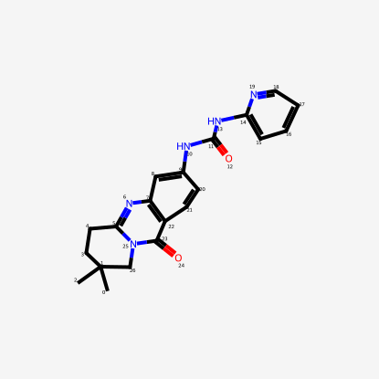 CC1(C)CCc2nc3cc(NC(=O)Nc4ccccn4)ccc3c(=O)n2C1